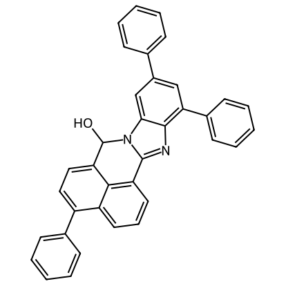 OC1c2ccc(-c3ccccc3)c3cccc(c23)-c2nc3c(-c4ccccc4)cc(-c4ccccc4)cc3n21